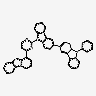 C1=C(c2ccc3c(c2)c2ccccc2n3-c2nccc(-c3cccc4c3sc3ccccc34)n2)C=C2c3ccccc3N(c3ccccc3)C2C1